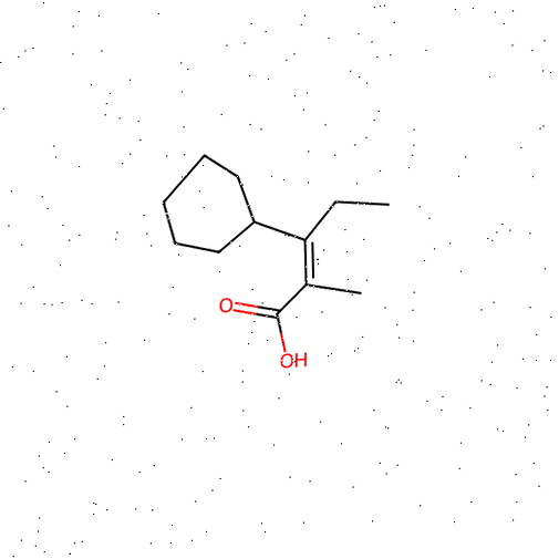 CC/C(=C(\C)C(=O)O)C1CCCCC1